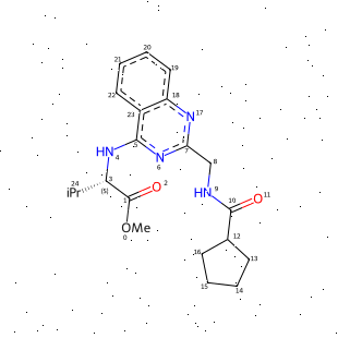 COC(=O)[C@@H](Nc1nc(CNC(=O)C2CCCC2)nc2ccccc12)C(C)C